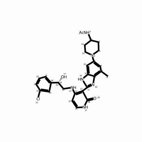 CC(=O)NC1CCN(c2cc(C)c3nc(-c4c(NC[C@@H](O)c5cccc(Cl)c5)cc[nH]c4=O)[nH]c3c2)CC1